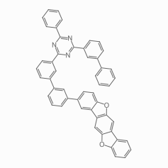 c1ccc(-c2cccc(-c3nc(-c4ccccc4)nc(-c4cccc(-c5cccc(-c6ccc7oc8cc9c(cc8c7c6)oc6ccccc69)c5)c4)n3)c2)cc1